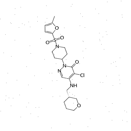 Cc1ccc(S(=O)(=O)N2CCC(n3ncc(NC[C@H]4CCCOC4)c(Cl)c3=O)CC2)o1